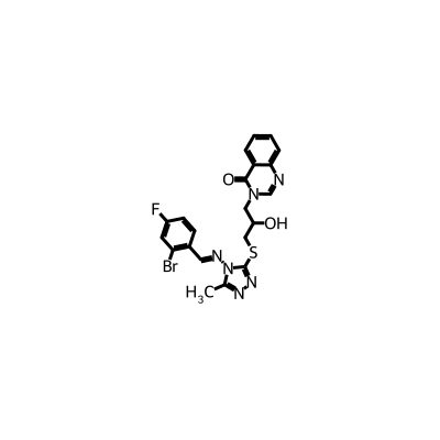 Cc1nnc(SCC(O)Cn2cnc3ccccc3c2=O)n1N=Cc1ccc(F)cc1Br